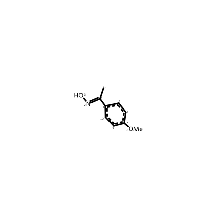 [CH2]C(=NO)c1ccc(OC)cc1